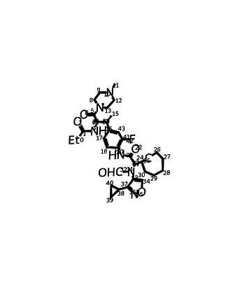 CCC(=O)N[C@@H](C(=O)N1CCN(C)CC1)[C@@H](C)c1ccc(NC(=O)[C@H](C2CCCCCC2)N(C=O)c2conc2C2CC2)c(F)c1